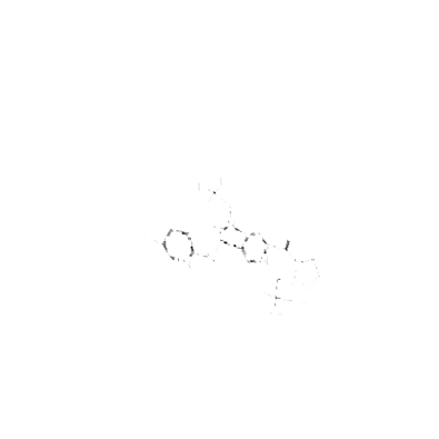 CC(C)(O)C[C@@H]1CCCN1C(=O)c1cc2c(cn1)c(Nc1ccc(F)cn1)nn2CC(F)(F)F